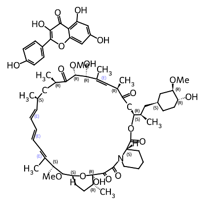 CO[C@H]1C[C@@H]2CC[C@@H](C)[C@@](O)(O2)C(=O)C(=O)N2CCCC[C@H]2C(=O)O[C@H]([C@H](C)C[C@@H]2CC[C@@H](O)[C@H](OC)C2)CC(=O)[C@H](C)/C=C(\C)[C@@H](O)[C@@H](OC)C(=O)[C@H](C)C[C@H](C)/C=C/C=C/C=C/1C.O=c1c(O)c(-c2ccc(O)cc2)oc2cc(O)cc(O)c12